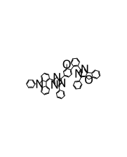 c1ccc(-c2nc(-c3ccc4c(c3)oc3cccc(-c5nc(-c6ccccc6)c6oc7ccccc7c6n5)c34)nc(-c3cccc4c3c3ccccc3n4-c3ccccc3)n2)cc1